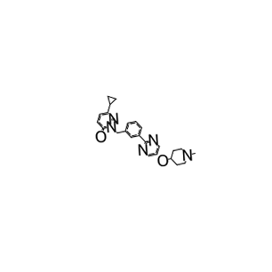 CN1CCC(Oc2cnc(-c3cccc(Cn4nc(C5CC5)ccc4=O)c3)nc2)CC1